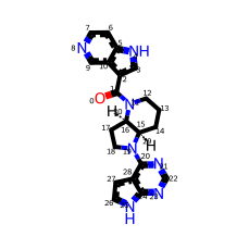 O=C(c1c[nH]c2ccncc12)N1CCC[C@@H]2[C@H]1CCN2c1ncnc2[nH]ccc12